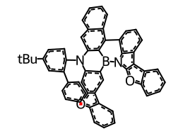 CC(C)(C)c1ccc(N2c3cc4oc5ccccc5c4cc3B3c4c2cc2ccccc2c4-c2cccc4c5c6ccccc6oc5n3c24)c(-c2ccccc2)c1